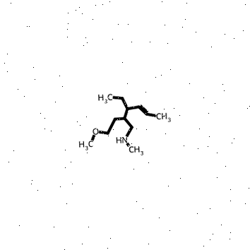 CC=CC(CC)C(CCOC)CNC